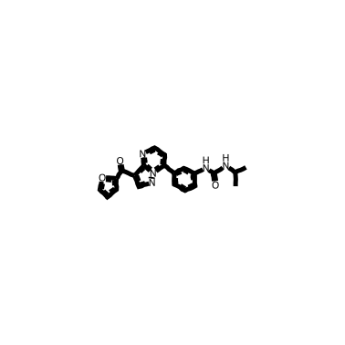 CC(C)NC(=O)Nc1cccc(-c2ccnc3c(C(=O)c4ccco4)cnn23)c1